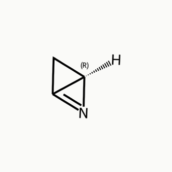 C1C2=N[C@H]12